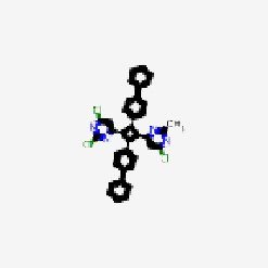 Cc1nc(Cl)cc([C@H]2[C@@H](c3ccc(-c4ccccc4)cc3)[C@H](c3cc(Cl)nc(Cl)n3)[C@@H]2c2ccc(-c3ccccc3)cc2)n1